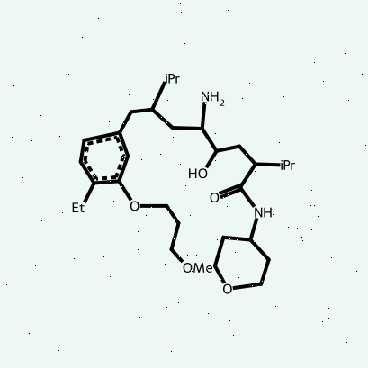 CCc1ccc(CC(CC(N)C(O)CC(C(=O)NC2CCOCC2)C(C)C)C(C)C)cc1OCCCOC